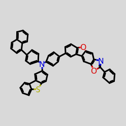 c1ccc(-c2nc3cc4oc5ccc(-c6ccc(N(c7ccc(-c8cccc9ccccc89)cc7)c7ccc8sc9ccccc9c8c7)cc6)cc5c4cc3o2)cc1